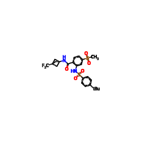 CC(C)(C)c1ccc(S(=O)(=O)Nc2cc(S(C)(=O)=O)ccc2C(=O)NC23CC(C(F)(F)F)(C2)C3)cc1